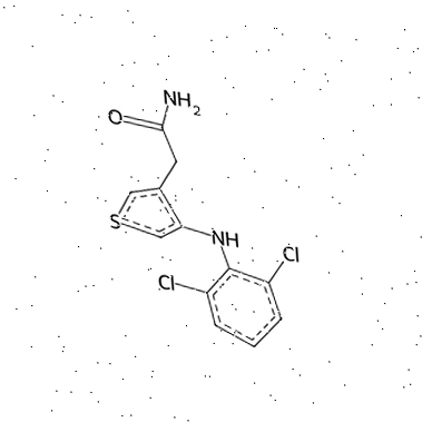 NC(=O)Cc1cscc1Nc1c(Cl)cccc1Cl